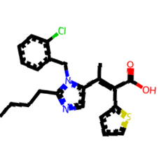 CCCCc1ncc(C(C)=C(C(=O)O)c2cccs2)n1Cc1ccccc1Cl